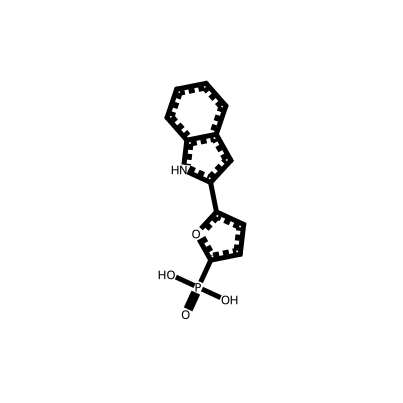 O=P(O)(O)c1ccc(-c2cc3ccccc3[nH]2)o1